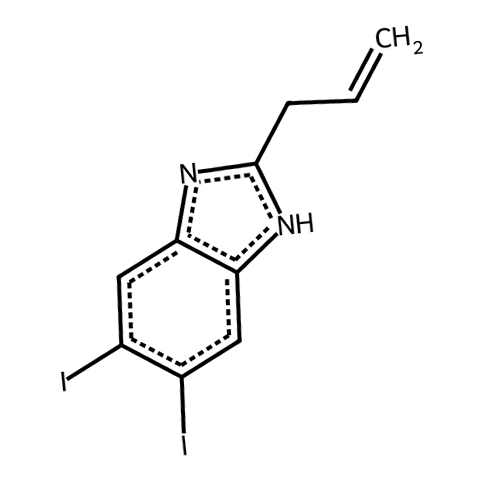 C=CCc1nc2cc(I)c(I)cc2[nH]1